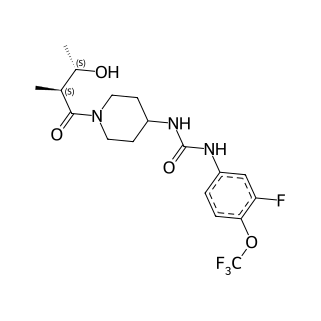 C[C@H](O)[C@H](C)C(=O)N1CCC(NC(=O)Nc2ccc(OC(F)(F)F)c(F)c2)CC1